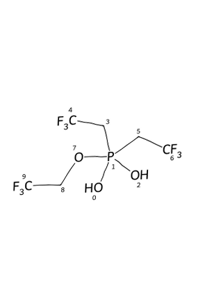 OP(O)(CC(F)(F)F)(CC(F)(F)F)OCC(F)(F)F